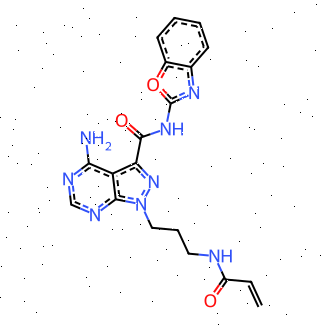 C=CC(=O)NCCCn1nc(C(=O)Nc2nc3ccccc3o2)c2c(N)ncnc21